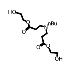 CCCCN(CCC(=O)OCCO)CCC(=O)OCCO